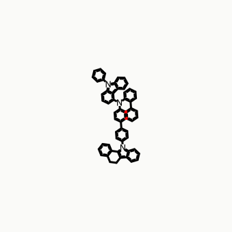 c1ccc(-c2ccccc2N(c2ccc(-c3ccc(-n4c5c(c6ccccc64)CCc4ccccc4-5)cc3)cc2)c2cccc3c2c2ccccc2n3-c2ccccc2)cc1